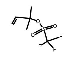 C=CC(C)(C)OS(=O)(=O)C(F)(F)F